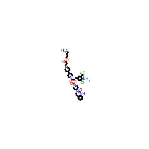 CCCCCOC(=O)CCN1CCC(C2CCN(C(=O)[C@@H](Cc3cc(Cl)c(N)c(C(F)(F)F)c3)OC(=O)N3CCC(N4CCc5ccccc5NC4=O)CC3)CC2)CC1